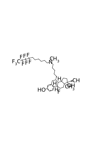 C#C[C@@]1(O)CC[C@H]2[C@@H]3[C@H](CCCCCN(C)CCCCCCC(F)(F)C(F)(F)C(F)(F)C(F)(F)F)Cc4cc(O)ccc4[C@H]3[C@@H](F)C[C@@]21C